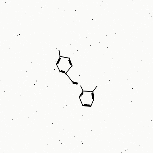 Cc1ccccc1N=Cc1ccc(F)cc1